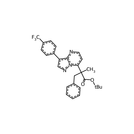 CC(C)(C)OC(=O)C(C)(Cc1ccccc1)c1ccnc2c(-c3ccc(C(F)(F)F)cc3)cnn12